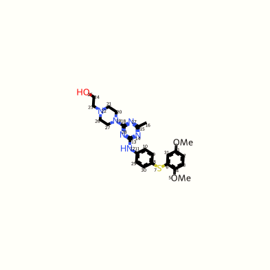 COc1ccc(OC)c(Sc2ccc(Nc3nc(C)nc(N4CCN(CCO)CC4)n3)cc2)c1